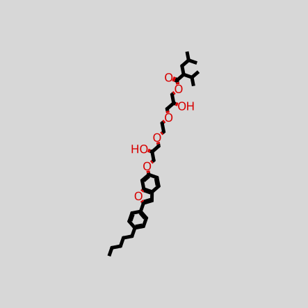 CCCCCc1ccc(-c2cc3ccc(OCC(O)COCCOCC(O)COC(=O)C(CC(C)C)C(C)C)cc3o2)cc1